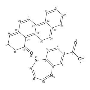 O=C(O)c1ccc2c(c1)N=CC=CS2.O=C1CCC=c2ccc3c(c21)CC=c1ccccc1=3